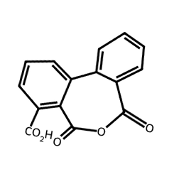 O=C(O)c1cccc2c1c(=O)oc(=O)c1ccccc12